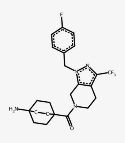 NC12CCC(C(=O)N3CCc4c(C(F)(F)F)nn(Cc5ccc(F)cc5)c4C3)(CC1)CC2